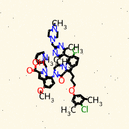 COc1ccc(N2C[C@@H](C)n3c(c(CCCOc4cc(C)c(Cl)c(C)c4)c4ccc(Cl)c(-c5c(C)nc(CN6CCN(C)CC6)nc5C)c43)C2=O)c2c1cc(C(=O)O)n2Cc1ccccn1